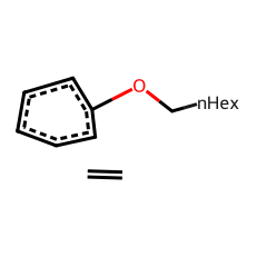 C=C.CCCCCCCOc1ccccc1